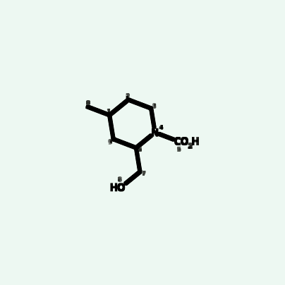 CC1CCN(C(=O)O)C(CO)C1